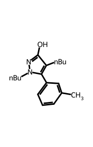 CCCCc1c(O)nn(CCCC)c1-c1cccc(C)c1